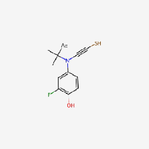 CC(=O)C(C)(C)N(C#CS)c1ccc(O)c(F)c1